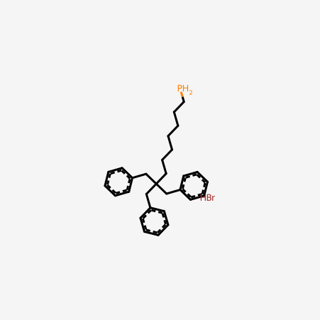 Br.PCCCCCCCC(Cc1ccccc1)(Cc1ccccc1)Cc1ccccc1